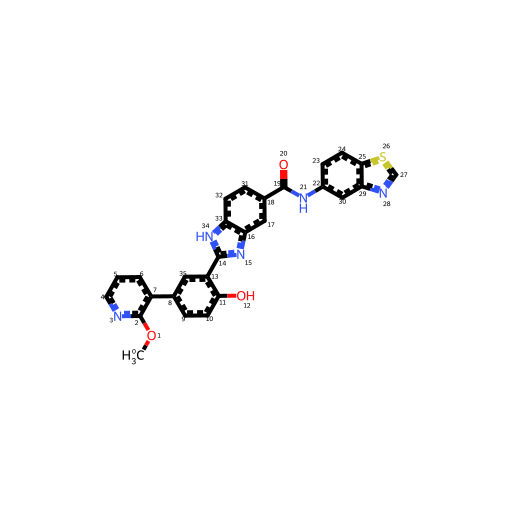 COc1ncccc1-c1ccc(O)c(-c2nc3cc(C(=O)Nc4ccc5scnc5c4)ccc3[nH]2)c1